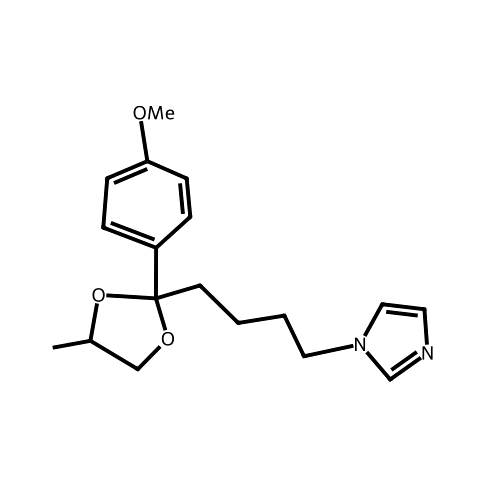 COc1ccc(C2(CCCCn3ccnc3)OCC(C)O2)cc1